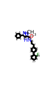 Cn1nc(-c2ccccc2)cc1C(=O)NCCCc1ccc(-c2ccccc2F)cc1